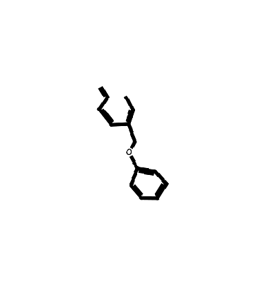 C=C/C=C\C(=C/C)COc1ccccc1